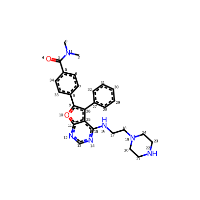 CN(C)C(=O)c1ccc(-c2oc3ncnc(NCCN4CCNCC4)c3c2-c2ccccc2)cc1